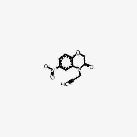 C#CCN1C(=O)COc2ccc([N+](=O)[O-])cc21